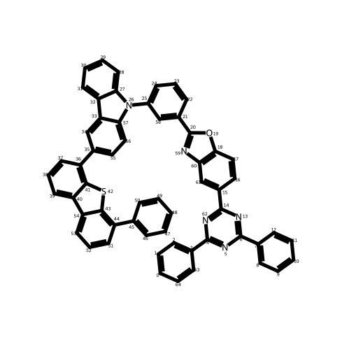 c1ccc(-c2nc(-c3ccccc3)nc(-c3ccc4oc(-c5cccc(-n6c7ccccc7c7cc(-c8cccc9c8sc8c(-c%10ccccc%10)cccc89)ccc76)c5)nc4c3)n2)cc1